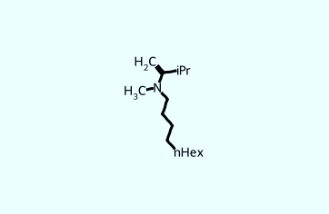 C=C(C(C)C)N(C)CCCCCCCCCC